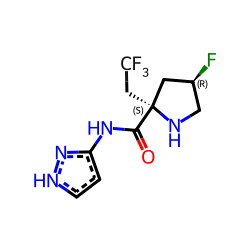 O=C(Nc1cc[nH]n1)[C@@]1(CC(F)(F)F)C[C@@H](F)CN1